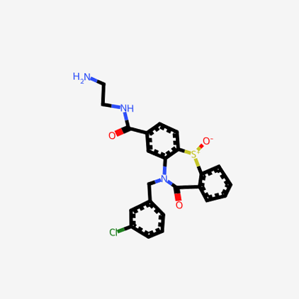 NCCNC(=O)c1ccc2c(c1)N(Cc1cccc(Cl)c1)C(=O)c1ccccc1[S+]2[O-]